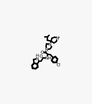 CC(C)CC1(N2CCN(C(=O)C(Cc3ccc(Cl)cc3)NC(=O)CC3NCc4ccccc43)CC2)CCN(C)CC1